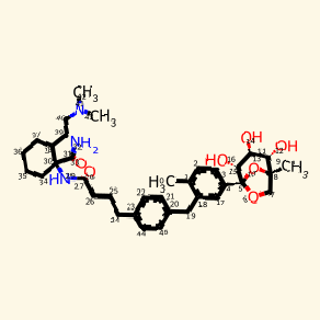 Cc1ccc([C@]23OC[C@](C)(O2)[C@@H](O)[C@H](O)[C@H]3O)cc1Cc1ccc(CCCC(=O)NC2(C(N)=O)CCCCC2CCN(C)C)cc1